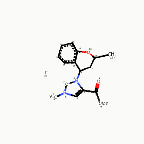 COC(=O)C1=CN(C)[C+]N1C1CC(C)Oc2ccccc21.[I-]